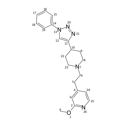 COc1cc(CCN2CCC(c3cn(-c4ccccc4)nn3)CC2)ccn1